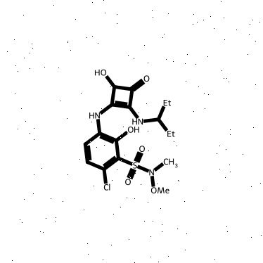 CCC(CC)NC1=C(Nc2ccc(Cl)c(S(=O)(=O)N(C)OC)c2O)C(O)C1=O